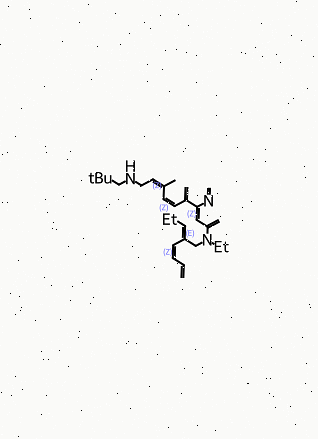 C=C/C=C\C(=C/CC)CN(CC)C(=C)/C=C(\N=C)C(=C)/C=C\C(C)=C/CNCC(C)(C)C